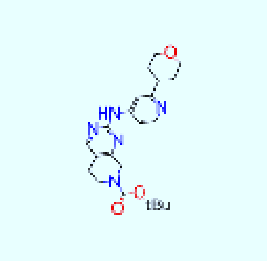 CC(C)(C)OC(=O)N1CCc2cnc(Nc3ccnc(C4CCOCC4)c3)nc2C1